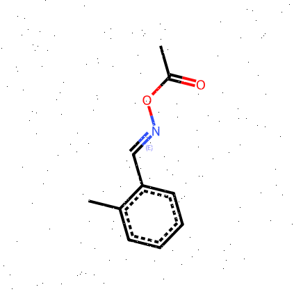 CC(=O)O/N=C/c1ccccc1C